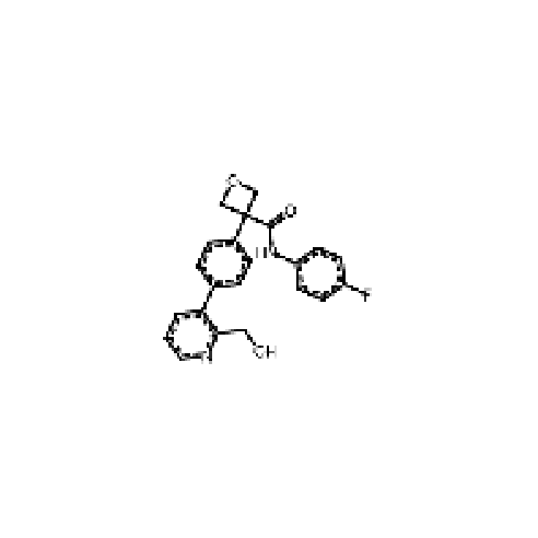 O=C(Nc1ccc(F)cc1)C1(c2ccc(-c3cccnc3CO)cc2)COC1